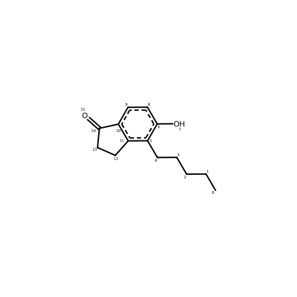 CCCCCc1c(O)ccc2c1CCC2=O